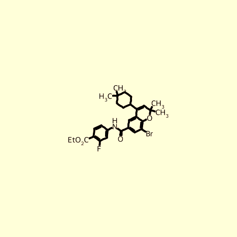 CCOC(=O)c1ccc(NC(=O)c2cc(Br)c3c(c2)C(C2CCC(C)(C)CC2)=CC(C)(C)O3)cc1F